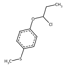 CCC(Cl)Oc1ccc(SC)cc1